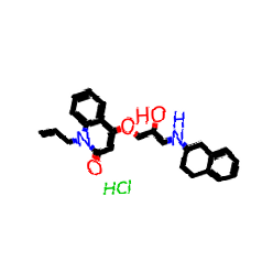 C=CCn1c(=O)cc(OCC(O)CNC2CCc3ccccc3C2)c2ccccc21.Cl